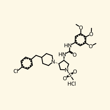 COc1cc(NC(=O)N[C@H]2CN(S(C)(=O)=O)C[C@@H]2N2CCC(Cc3ccc(Cl)cc3)CC2)cc(OC)c1OC.Cl